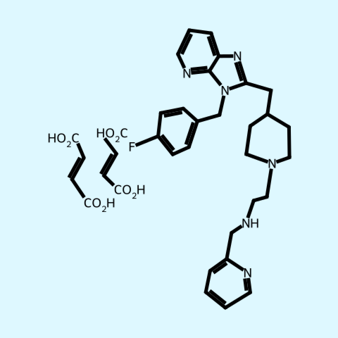 Fc1ccc(Cn2c(CC3CCN(CCNCc4ccccn4)CC3)nc3cccnc32)cc1.O=C(O)C=CC(=O)O.O=C(O)C=CC(=O)O